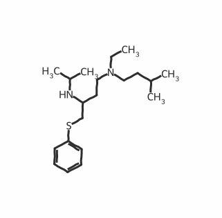 CCN(CCC(C)C)CCC(CSc1ccccc1)NC(C)C